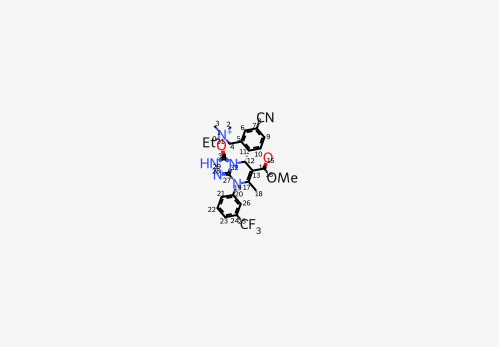 CC[N+](C)(C)Cc1cc(C#N)ccc1[C@@H]1C(C(=O)OC)=C(C)N(c2cccc(C(F)(F)F)c2)c2n[nH]c(=O)n21